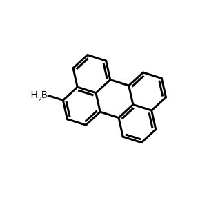 Bc1ccc2c3cccc4cccc(c5cccc1c52)c43